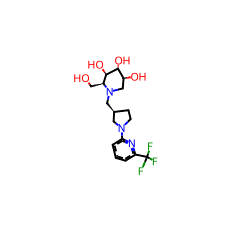 OC[C@H]1[C@@H](O)[C@H](O)[C@@H](O)CN1C[C@H]1CCN(c2cccc(C(F)(F)F)n2)C1